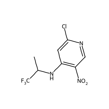 CC(Nc1cc(Cl)ncc1[N+](=O)[O-])C(F)(F)F